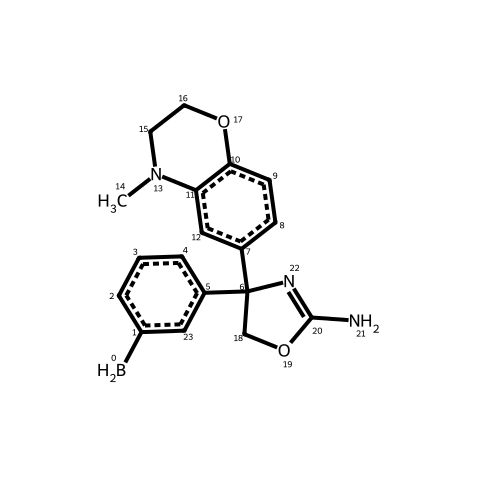 Bc1cccc(C2(c3ccc4c(c3)N(C)CCO4)COC(N)=N2)c1